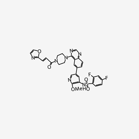 COc1ncc(-c2ccc3ncnc(N4CCN(C(=O)/C=C/c5ncco5)CC4)c3c2)cc1NS(=O)(=O)c1ccc(F)cc1F